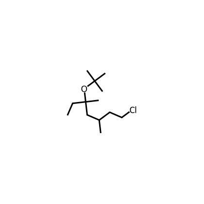 CCC(C)(CC(C)CCCl)OC(C)(C)C